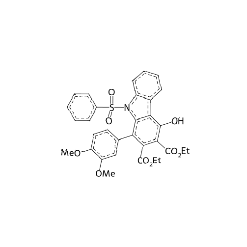 CCOC(=O)c1c(C(=O)OCC)c(-c2ccc(OC)c(OC)c2)c2c(c1O)c1ccccc1n2S(=O)(=O)c1ccccc1